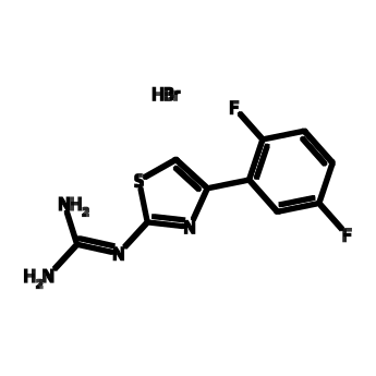 Br.NC(N)=Nc1nc(-c2cc(F)ccc2F)cs1